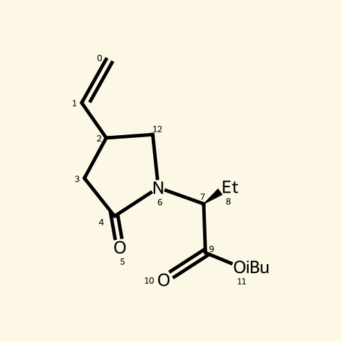 C=CC1CC(=O)N([C@@H](CC)C(=O)OCC(C)C)C1